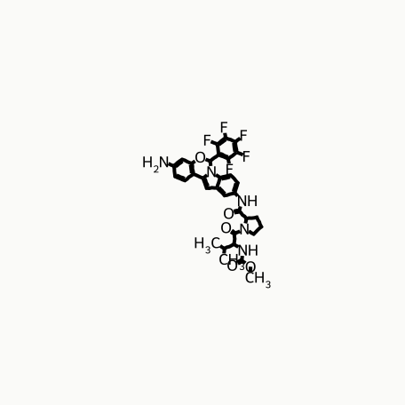 COC(=O)NC(C(=O)N1CCCC1C(=O)Nc1ccc2c(c1)cc1n2C(c2c(F)c(F)c(F)c(F)c2F)Oc2cc(N)ccc2-1)C(C)C